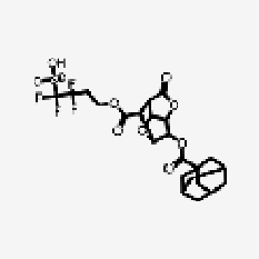 O=C1OC2C(OC(=O)C34CC5CC(CC(C5)C3)C4)C3OC2C1C3C(=O)OCCC(F)(F)C(F)(F)S(=O)(=O)O